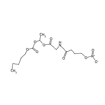 CCCCCOC(=O)OC(C)OC(=O)CNC(=O)CCCO[N+](=O)[O-]